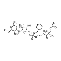 CCCC(=O)OCC(C)(C)C(=O)SCCOP(=O)(NCc1ccccc1)OCC1O[C@@H](n2cnc3c(OCC)nc(N)nc32)[C@](C)(F)[C@@H]1O